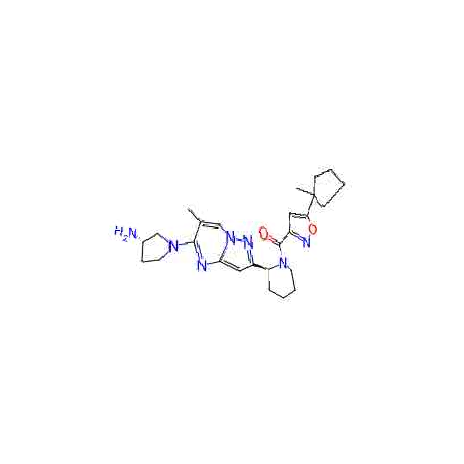 Cc1cn2nc([C@@H]3CCCCN3C(=O)c3cc(C4(C)CCCC4)on3)cc2nc1N1CC[C@H](N)C1